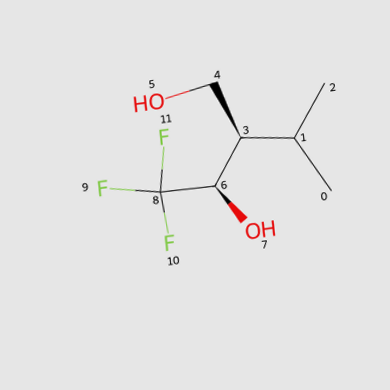 CC(C)[C@H](CO)[C@@H](O)C(F)(F)F